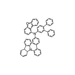 C1=CC2c3ccccc3N(c3ccccc3-c3ccc(N(c4ccc(-c5ccccc5)c(-c5ccccc5)c4)c4cccc5oc6ccccc6c45)cc3)C2C=C1